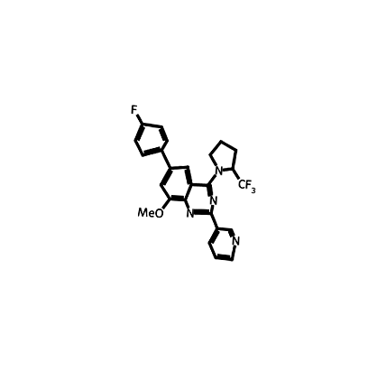 COc1cc(-c2ccc(F)cc2)cc2c(N3CCCC3C(F)(F)F)nc(-c3cccnc3)nc12